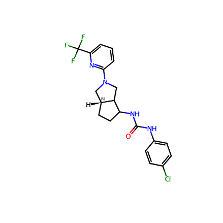 O=C(Nc1ccc(Cl)cc1)NC1CC[C@@H]2CN(c3cccc(C(F)(F)F)n3)CC12